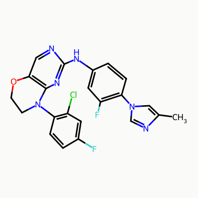 Cc1cn(-c2ccc(Nc3ncc4c(n3)N(c3ccc(F)cc3Cl)CCO4)cc2F)cn1